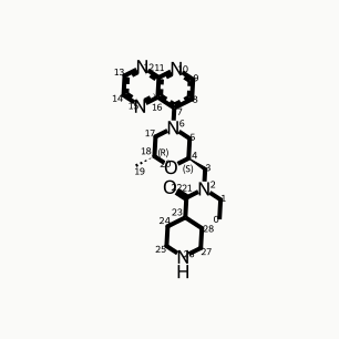 CCN(C[C@@H]1CN(c2ccnc3nccnc23)C[C@@H](C)O1)C(=O)C1CCNCC1